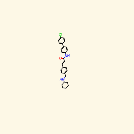 O=C(C=Cc1ccc(CNC2CCCCC2)cc1)Nc1ccc(-c2ccc(Cl)cc2)cc1